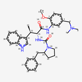 CCOc1ccc(CN(C)C)cc1NC(=O)[C@H](NC(=O)N1CCCC1Cc1ccccc1)[C@H](C)c1c[nH]c2ccccc12